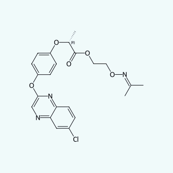 CC(C)=NOCCOC(=O)[C@@H](C)Oc1ccc(Oc2cnc3cc(Cl)ccc3n2)cc1